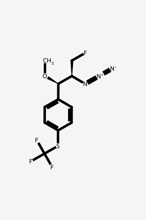 CO[C@H](c1ccc(SC(F)(F)F)cc1)[C@@H](CF)N=[N+]=[N-]